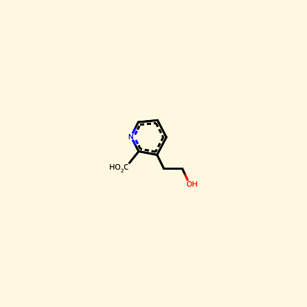 O=C(O)c1ncccc1CCO